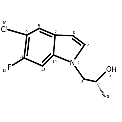 C[C@@H](O)Cn1ccc2cc(Cl)c(F)cc21